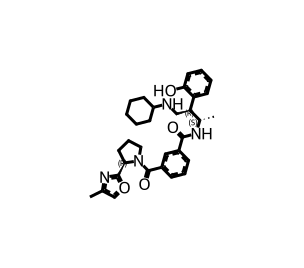 Cc1coc([C@H]2CCCN2C(=O)c2cccc(C(=O)N[C@@H](C)[C@@H](CNC3CCCCC3)c3ccccc3O)c2)n1